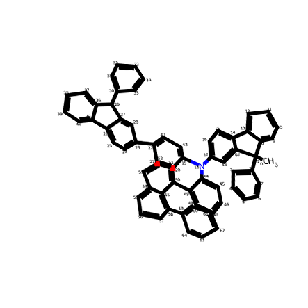 CC1(c2ccccc2)c2ccccc2-c2ccc(N(c3ccc(-c4ccc5c(c4)C(c4ccccc4)c4ccccc4-5)cc3)c3ccccc3-c3cccc4cccc(-c5ccccc5)c34)cc21